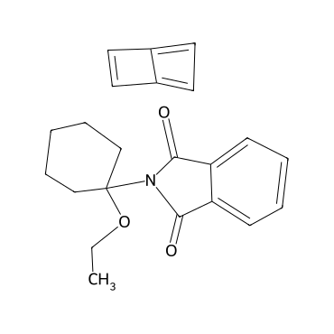 CCOC1(N2C(=O)c3ccccc3C2=O)CCCCC1.c1cc2ccc1-2